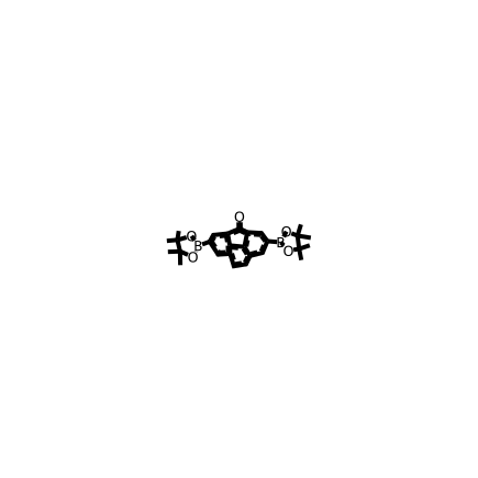 CC1(C)OB(c2cc3ccc4cc(B5OC(C)(C)C(C)(C)O5)cc5c(=O)c(c2)c3c45)OC1(C)C